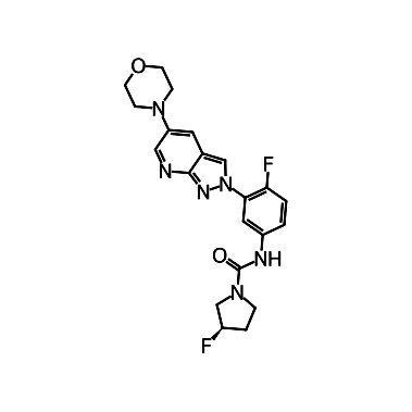 O=C(Nc1ccc(F)c(-n2cc3cc(N4CCOCC4)cnc3n2)c1)N1CC[C@@H](F)C1